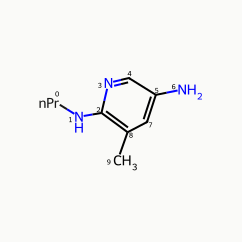 CCCNc1ncc(N)cc1C